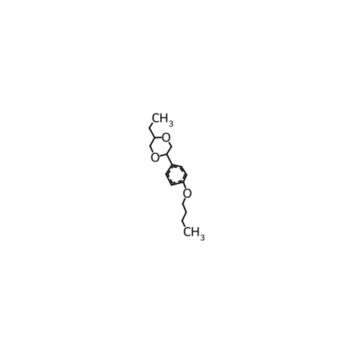 CCCCOc1ccc(C2COC(CC)CO2)cc1